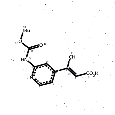 C/C(=C\C(=O)O)c1ccnc(NC(=O)OC(C)(C)C)c1